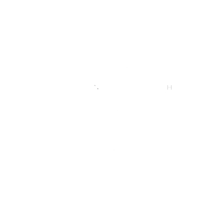 CC(C)c1cc(F)cc2c1cc1n2CC[C@@H]1CC(=O)O